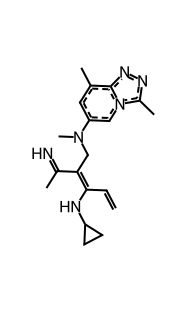 C=C/C(NC1CC1)=C(\CN(C)c1cc(C)c2nnc(C)n2c1)C(C)=N